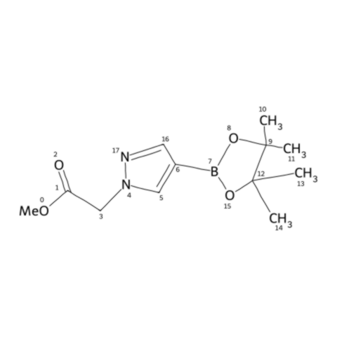 COC(=O)Cn1cc(B2OC(C)(C)C(C)(C)O2)cn1